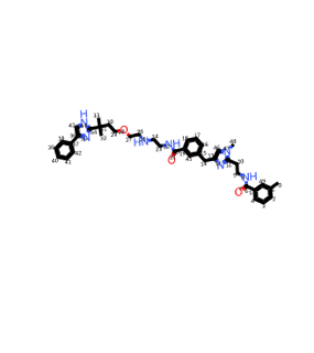 Cc1cccc(C(=O)NCCc2nc(Cc3cccc(C(=O)NCCNCCOCCC(C)(C)c4nc(-c5ccccc5)c[nH]4)c3)cn2C)c1